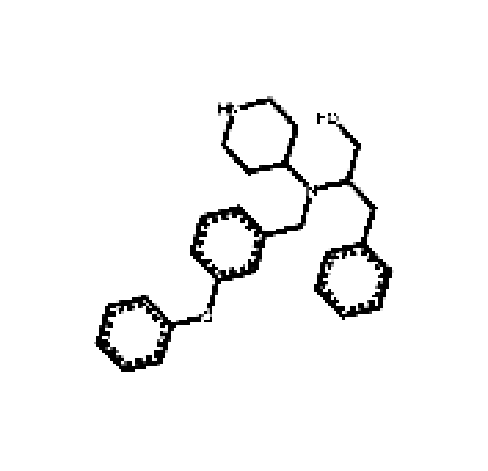 OCC(Cc1ccccc1)N(Cc1cccc(Oc2ccccc2)c1)C1CCNCC1